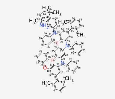 Cc1cccc(C)c1-c1cc2c3c(c1)N(c1ccccc1)c1cc4c(cc1B3c1ccccc1O2)B1c2ccccc2N(c2ccc3c(c2)[C@@](C)(N)CCC3(C)C)c2cc(-c3c(C)cccc3C)cc(c21)N4c1ccccc1